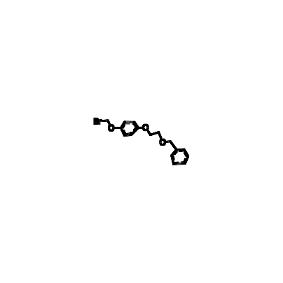 BrCOc1ccc(OCCOCc2ccccc2)cc1